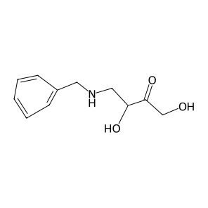 O=C(CO)C(O)CNCc1ccccc1